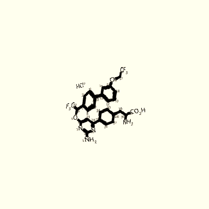 Cl.Nc1nc(OC(c2ccc(-c3cccc(OCC(F)(F)F)c3)cc2)C(F)(F)F)cc(C2=CCC(CC(N)C(=O)O)CC2)n1